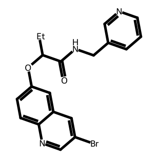 CCC(Oc1ccc2ncc(Br)cc2c1)C(=O)NCc1cccnc1